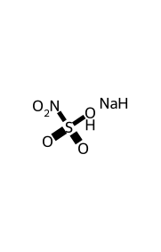 O=[N+]([O-])S(=O)(=O)O.[NaH]